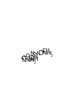 CC1(N)CCN(c2cnc3c(Oc4cccnc4N)n[nH]c3n2)CC1